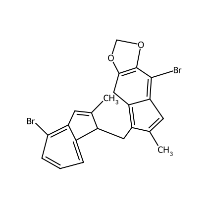 CC1=CC2=C(Br)C3=C(CC2=C1CC1C(C)=Cc2c(Br)cccc21)OCO3